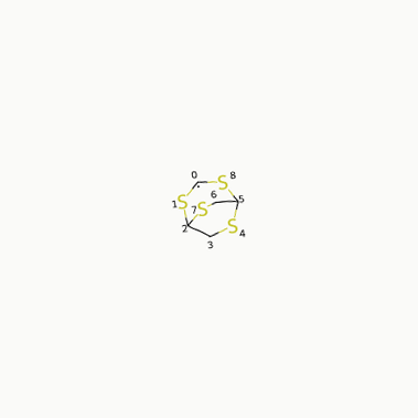 [CH]1SC2CSC(CS2)S1